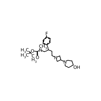 CN(CC(CCN1CC(N2CCC(O)CC2)C1)c1ccc(F)cc1)C(=O)OC(C)(C)C